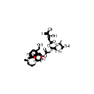 C[C@H](OC(=O)[C@H](CC(=O)OC1=CC[C@@]2(O)[C@H]3Cc4ccc(CO)c5c4[C@@]2(CCCN3C)[C@H]1O5)OC(=O)C[C@H](O)C(=O)O)C(=O)O